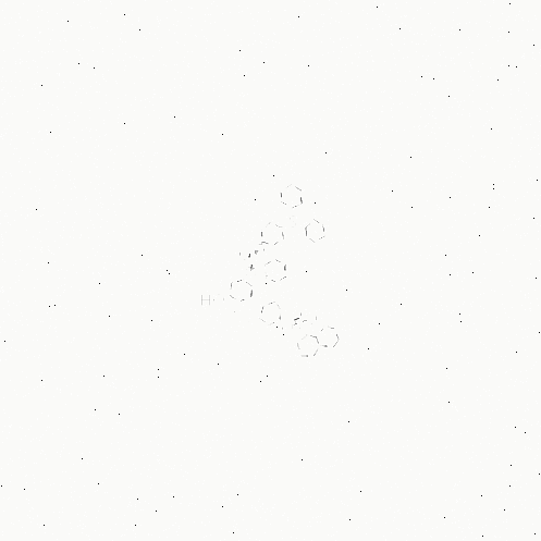 C[S+](Cc1ccccc1)c1ccccc1O.Cc1ccc(S(=O)(=O)[O-])cc1.O=S(=O)([O-])c1cccc2ccccc12.c1ccc([S+](c2ccccc2)c2ccccc2)cc1